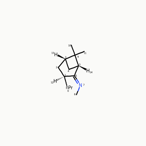 CCC[C@H]1C[C@H]2C[C@@H](C1=NC)C2(C)C